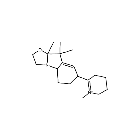 C[N+]1=C(C2C=C3C(CC2)N2CCOC2(C)C3(C)C)CCCC1